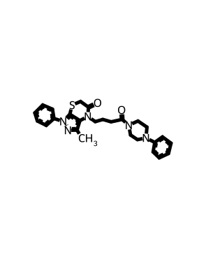 Cc1nn(-c2ccccc2)c2c1N(CCCC(=O)N1CCN(c3ccccc3)CC1)C(=O)CS2